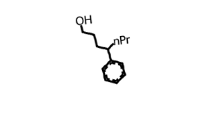 CCCC(CCCO)c1ccccc1